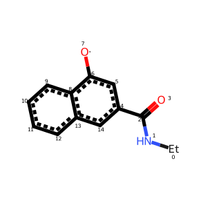 CCNC(=O)c1cc([O])c2ccccc2c1